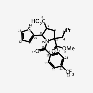 COC(=O)C1(CC(C)C)CC(C(=O)O)C(c2cccs2)N1C(=O)c1ccc(C(F)(F)F)cc1